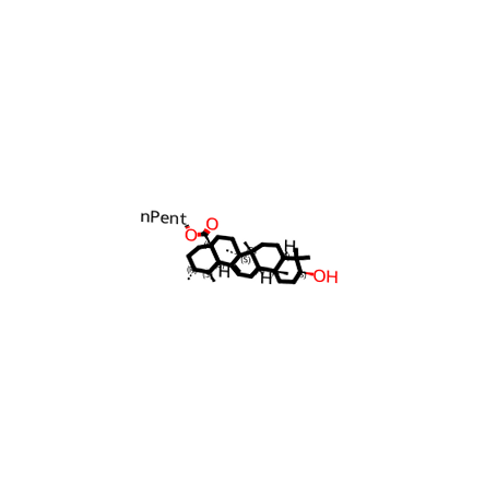 CCCCCOC(=O)[C@]12CC[C@@H](C)[C@H](C)[C@H]1C1=CC[C@@H]3[C@@]4(C)CC[C@H](O)C(C)(C)[C@@H]4CC[C@@]3(C)[C@]1(C)CC2